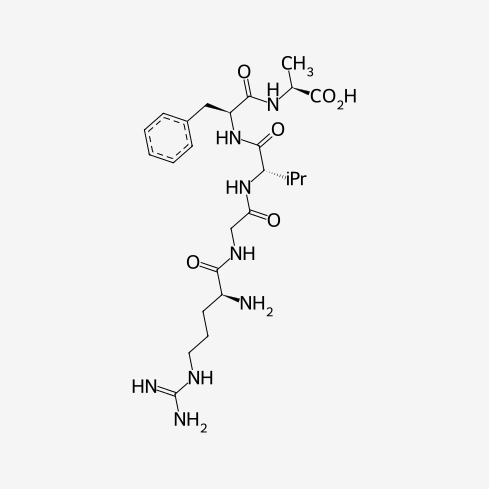 CC(C)[C@H](NC(=O)CNC(=O)[C@@H](N)CCCNC(=N)N)C(=O)N[C@@H](Cc1ccccc1)C(=O)N[C@@H](C)C(=O)O